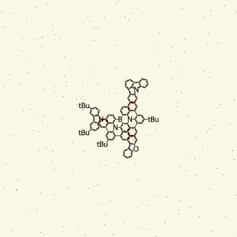 CC(C)(C)c1cc(-c2ccccc2)c(N2c3cc(-c4ccc5c(c4)c4cccc6c7ccccc7n5c64)ccc3B3c4ccc(-n5c6ccc(C(C)(C)C)cc6c6cc(C(C)(C)C)ccc65)cc4N(c4c(-c5ccccc5)cc(C(C)(C)C)cc4-c4ccccc4)c4cc(-c5ccc6oc7ccccc7c6c5)cc2c43)c(-c2ccccc2)c1